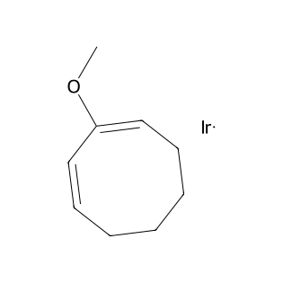 COC1=CCCCCC=C1.[Ir]